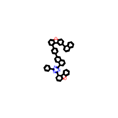 C1=CC(c2nc(-c3ccccc3)nc(C3CC=Cc4oc5ccccc5c43)n2)C2C=CC(c3ccc(-c4cccc5oc6ccc(-c7cccc8ccccc78)cc6c45)cc3)=CC2=C1